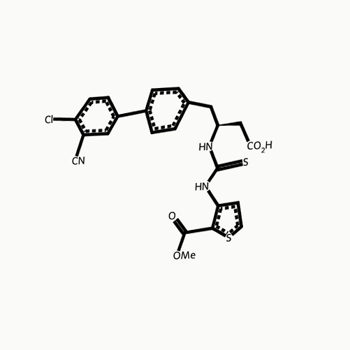 COC(=O)c1sccc1NC(=S)N[C@H](CC(=O)O)Cc1ccc(-c2ccc(Cl)c(C#N)c2)cc1